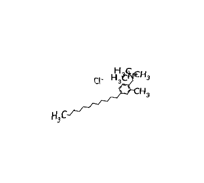 CCCCCCCCCCCCc1ccc(C[N+](C)(C)C)c(C)c1.[Cl-]